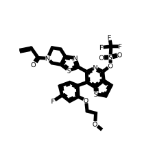 C=CC(=O)N1CCc2nc(-c3nc(OS(=O)(=O)C(F)(F)F)c4ccsc4c3-c3ccc(F)cc3OCCOC)sc2C1